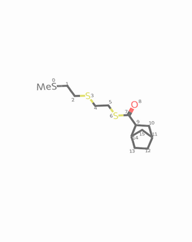 CSCCSCCSC(=O)C1CC2CCC1C2